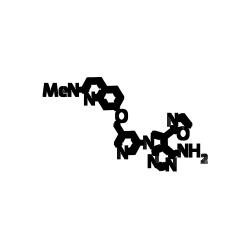 CNc1ccc2ccc(OCc3cncc(-n4cc(-c5ncco5)c5c(N)ncnc54)c3)cc2n1